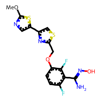 COc1ncc(-c2csc(COc3ccc(F)c(/C(N)=N/O)c3F)n2)s1